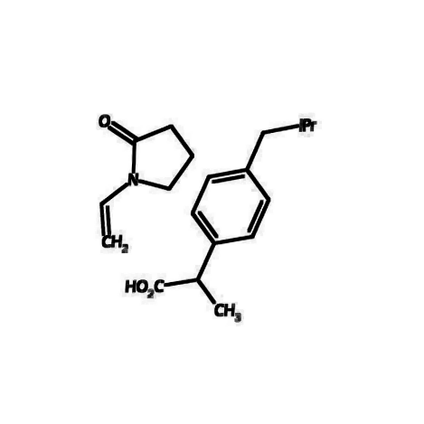 C=CN1CCCC1=O.CC(C)Cc1ccc(C(C)C(=O)O)cc1